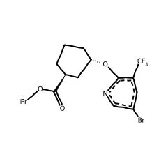 CC(C)OC(=O)[C@H]1CCC[C@H](Oc2ncc(Br)cc2C(F)(F)F)C1